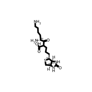 NCCCC[C@@H](N)C(=O)C(CCC[C@@H]1SC[C@@H]2NC(=O)N[C@@H]21)C(=O)O